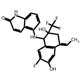 C/C=C1\CC(O)(C(F)(F)F)C(Nc2cccc3[nH]c(=O)ccc23)c2cc(F)c(O)cc21